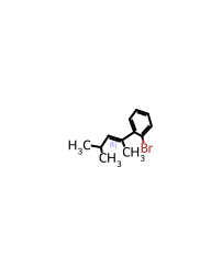 C/C(=C\C(C)C)c1ccccc1Br